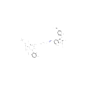 CC1C(c2c(F)ccc(F)c2F)CC(NC(=O)OC(C)(C)C)C(=O)N1CCOCCOC/C=C/c1cnc2c(c1)[C@@]1(Cc3cc(C(=O)O)cnc3C1)C(=O)N2